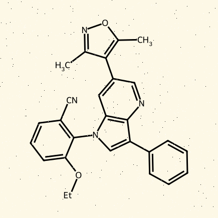 CCOc1cccc(C#N)c1-n1cc(-c2ccccc2)c2ncc(-c3c(C)noc3C)cc21